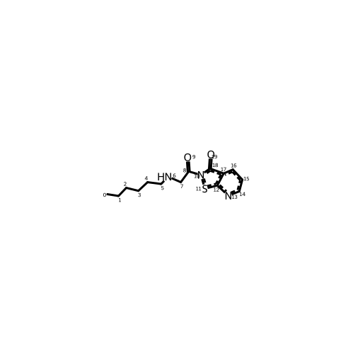 CCCCCCNCC(=O)n1sc2ncccc2c1=O